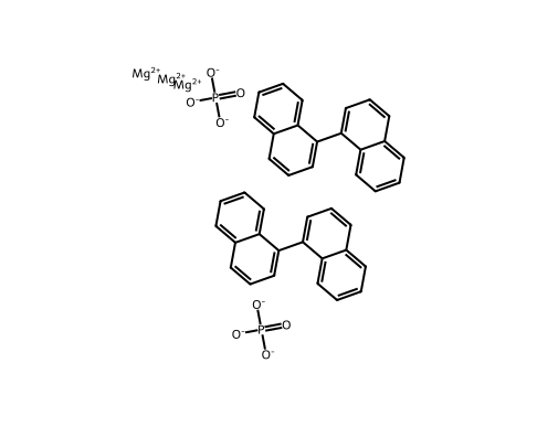 O=P([O-])([O-])[O-].O=P([O-])([O-])[O-].[Mg+2].[Mg+2].[Mg+2].c1ccc2c(-c3cccc4ccccc34)cccc2c1.c1ccc2c(-c3cccc4ccccc34)cccc2c1